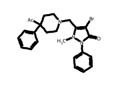 CC(=O)C1(c2ccccc2)CCN(Cc2c(Br)c(=O)n(-c3ccccc3)n2C)CC1